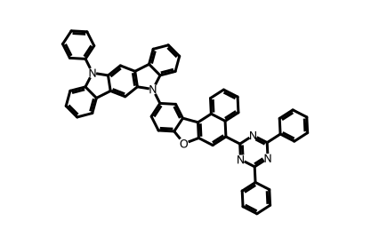 c1ccc(-c2nc(-c3ccccc3)nc(-c3cc4oc5ccc(-n6c7ccccc7c7cc8c(cc76)c6ccccc6n8-c6ccccc6)cc5c4c4ccccc34)n2)cc1